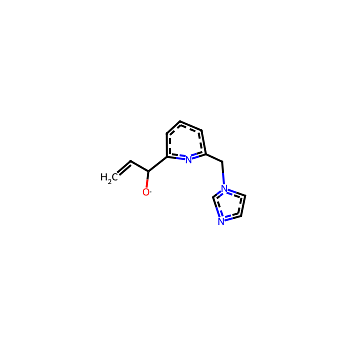 C=CC([O])c1cccc(Cn2ccnc2)n1